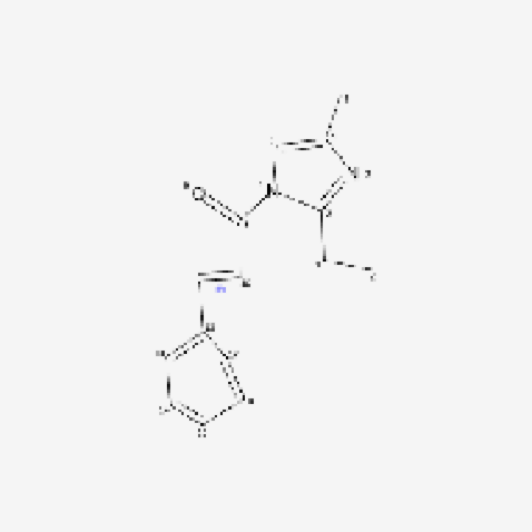 CCc1nc(C)cn1C(=O)/C=C/c1ccccc1